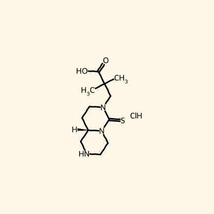 CC(C)(CN1CC[C@H]2CNCCN2C1=S)C(=O)O.Cl